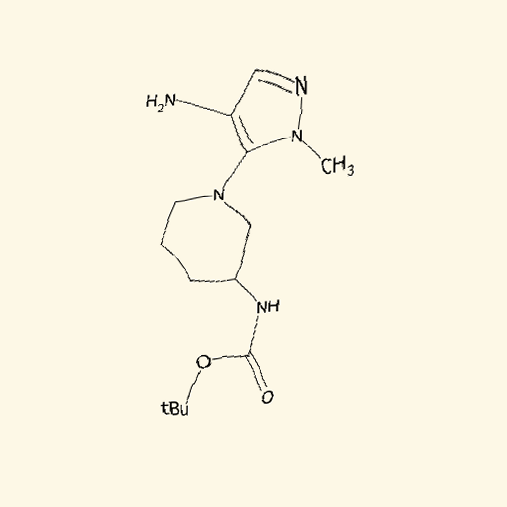 Cn1ncc(N)c1N1CCCC(NC(=O)OC(C)(C)C)C1